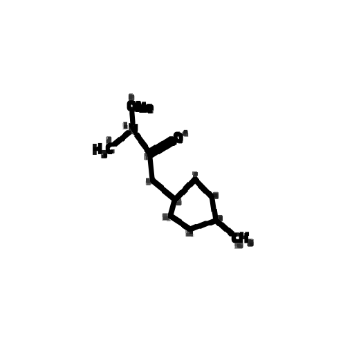 CON(C)C(=O)CC1CCC(C)CC1